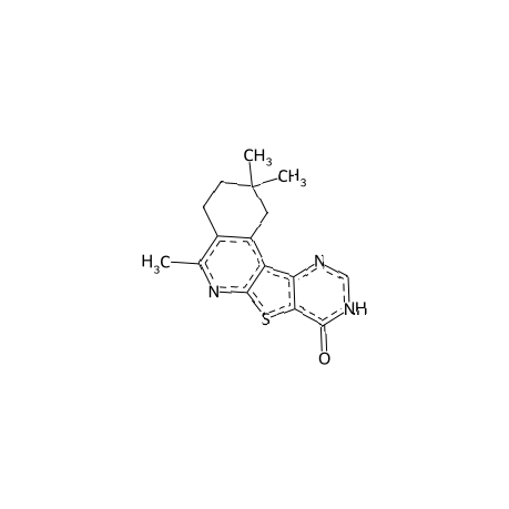 Cc1nc2sc3c(=O)[nH]cnc3c2c2c1CCC(C)(C)C2